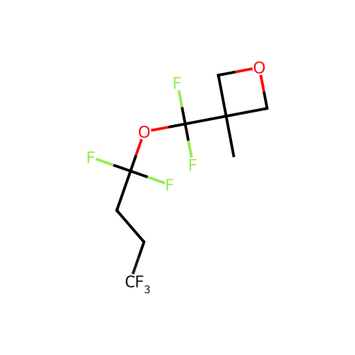 CC1(C(F)(F)OC(F)(F)CCC(F)(F)F)COC1